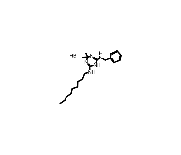 Br.CCCCCCCCCNC1=NC(C)(C)N=C(NCc2ccccc2)N1